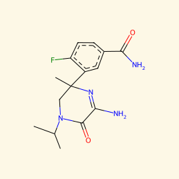 CC(C)N1CC(C)(c2cc(C(N)=O)ccc2F)N=C(N)C1=O